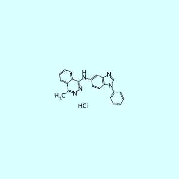 Cc1nnc(Nc2ccc3c(c2)ncn3-c2ccccc2)c2ccccc12.Cl